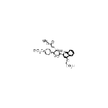 CCOC(=O)N1CCN(C(=O)[C@H](CCC(=O)OC(C)(C)C)NC(=O)c2cc(OCC(=O)O)c3ccccc3n2)CC1